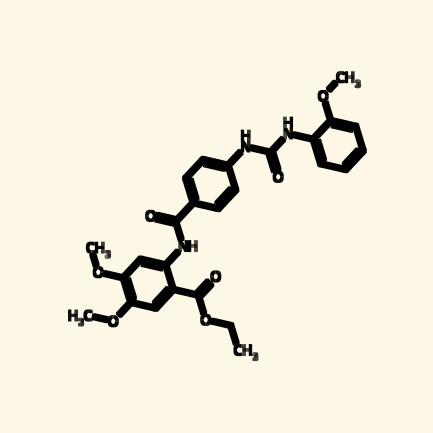 CCOC(=O)c1cc(OC)c(OC)cc1NC(=O)c1ccc(NC(=O)Nc2ccccc2OC)cc1